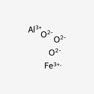 [Al+3].[Fe+3].[O-2].[O-2].[O-2]